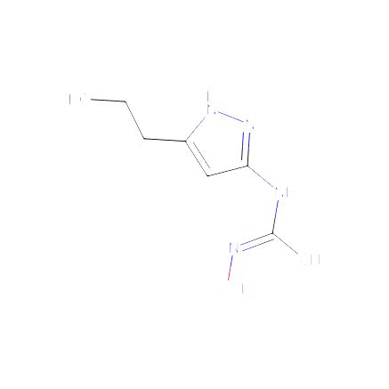 CCCc1cc(NC(C)=NO)n[nH]1